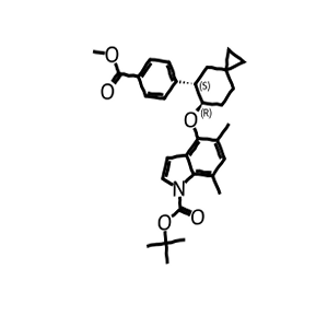 COC(=O)c1ccc([C@@H]2CC3(CC[C@H]2Oc2c(C)cc(C)c4c2ccn4C(=O)OC(C)(C)C)CC3)cc1